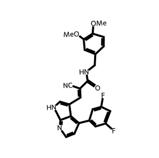 COc1ccc(CNC(=O)/C(C#N)=C/c2c[nH]c3nccc(-c4cc(F)cc(F)c4)c23)cc1OC